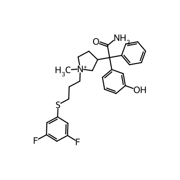 C[N+]1(CCCSc2cc(F)cc(F)c2)CCC(C(C(N)=O)(c2ccccc2)c2cccc(O)c2)C1